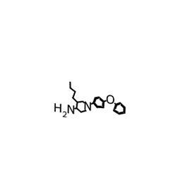 CCCCC1CN(c2ccc(Oc3ccccc3)cc2)CCC1N